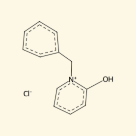 Oc1cccc[n+]1Cc1ccccc1.[Cl-]